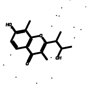 Cc1c(C(C)C(C)O)oc2c(C)c(O)ccc2c1=O